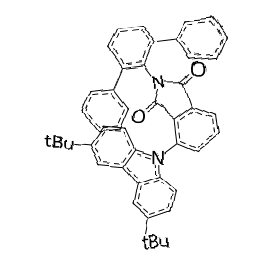 CC(C)(C)c1ccc2c(c1)c1cc(C(C)(C)C)ccc1n2-c1cccc2c1C(=O)N(c1c(-c3ccccc3)cccc1-c1ccccc1)C2=O